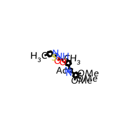 COc1cc(C2=NN(C(C)=O)C(c3ccc(C)c(OCC(=O)Nc4nc5ccc(C)cc5s4)c3)C2)cc(OC)c1OC